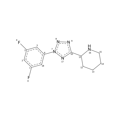 Fc1cc(F)cc(-n2nnc(C3CCCCN3)n2)c1